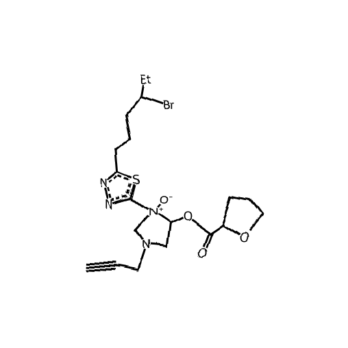 C#CCN1CC(OC(=O)C2CCCO2)[N+]([O-])(c2nnc(CCCC(Br)CC)s2)C1